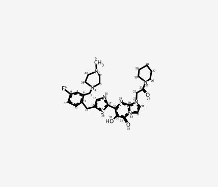 CN1CCN(Cc2cc(F)ccc2Cc2cnc(-c3nc4n(CC(=O)N5CCCCC5)ccn4c(=O)c3O)s2)CC1